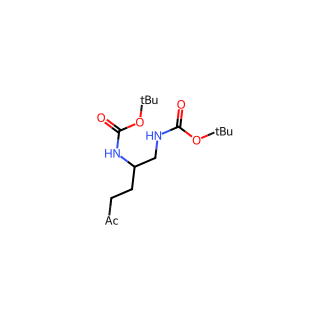 CC(=O)CCC(CNC(=O)OC(C)(C)C)NC(=O)OC(C)(C)C